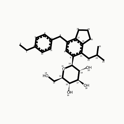 CCc1ccc(Cc2cc([C@@H]3O[C@H](CO)[C@@H](O)[C@H](O)[C@H]3O)c(CC(C)C)c3c2CCC3)cc1